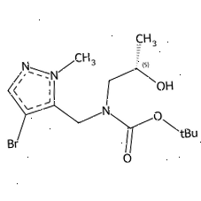 C[C@H](O)CN(Cc1c(Br)cnn1C)C(=O)OC(C)(C)C